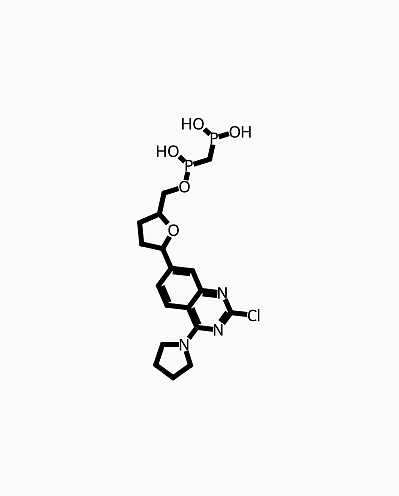 OP(O)CP(O)OCC1CCC(c2ccc3c(N4CCCC4)nc(Cl)nc3c2)O1